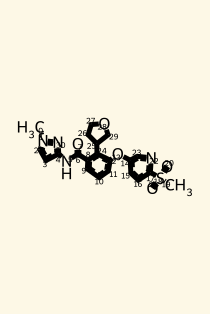 Cn1ccc(NC(=O)c2cccc(Oc3ccc(S(C)(=O)=O)nc3)c2C2CCOC2)n1